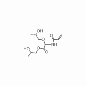 C=CC(=O)NC(OCC(C)O)C(=O)OCC(C)O